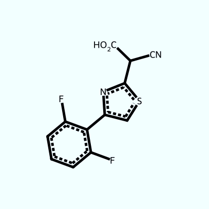 N#CC(C(=O)O)c1nc(-c2c(F)cccc2F)cs1